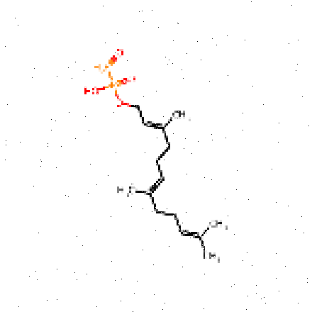 CC(C)=CCCC(C)=CCCC(C)=CCOP(=O)(O)[PH2]=O